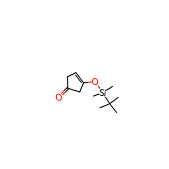 CC(C)(C)[Si](C)(C)OC1=CCC(=O)C1